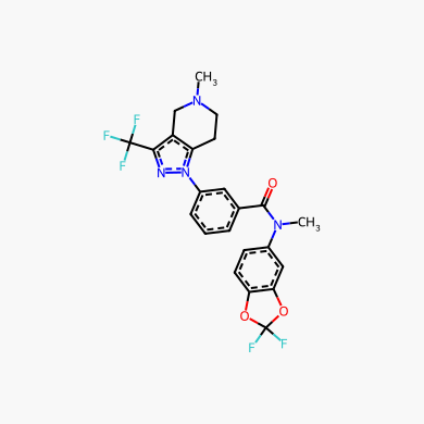 CN1CCc2c(c(C(F)(F)F)nn2-c2cccc(C(=O)N(C)c3ccc4c(c3)OC(F)(F)O4)c2)C1